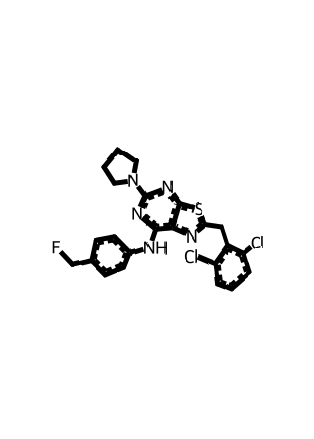 FCc1ccc(Nc2nc(N3CCCC3)nc3sc(Cc4c(Cl)cccc4Cl)nc23)cc1